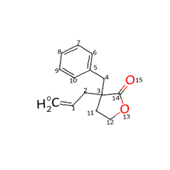 C=CCC1(Cc2ccccc2)CCOC1=O